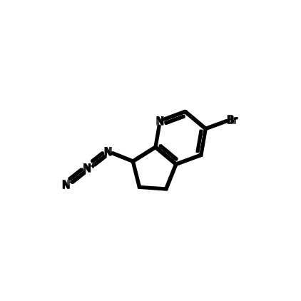 [N-]=[N+]=NC1CCc2cc(Br)cnc21